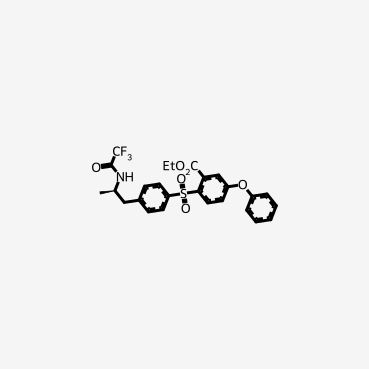 CCOC(=O)c1cc(Oc2ccccc2)ccc1S(=O)(=O)c1ccc(C[C@@H](C)NC(=O)C(F)(F)F)cc1